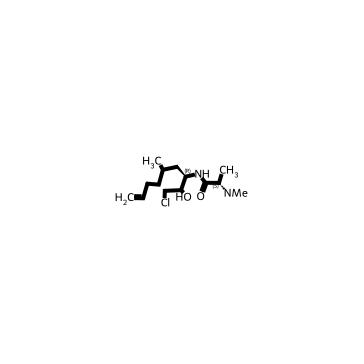 C=CCCC(C)C[C@@H](NC(=O)[C@H](C)NC)C(O)CCl